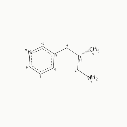 C[C@H](CN)Cc1cccnc1